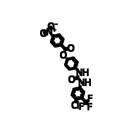 O=C(NC1=C=CC(OC(=O)c2ccc([N+](=O)[O-])cc2)CC1)Nc1ccc(Cl)c(C(F)(F)F)c1